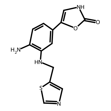 Nc1ccc(-c2c[nH]c(=O)o2)cc1NCc1cncs1